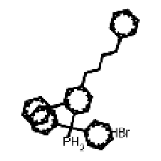 Br.PC(c1ccccc1)(c1ccccc1)c1ccc(CCCCc2ccccc2)cc1-c1ccccc1